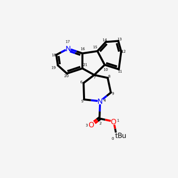 CC(C)(C)OC(=O)N1CCC2(CC1)c1ccccc1-c1ncccc12